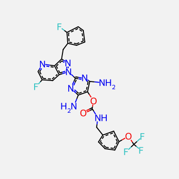 Nc1nc(-n2nc(Cc3ccccc3F)c3ncc(F)cc32)nc(N)c1OC(=O)NCc1cccc(OC(F)(F)F)c1